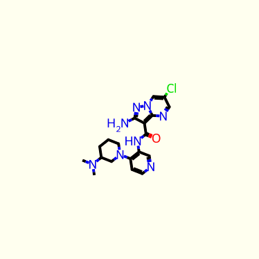 CN(C)C1CCCN(c2ccncc2NC(=O)c2c(N)nn3cc(Cl)cnc23)C1